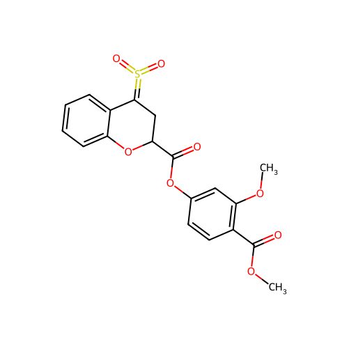 COC(=O)c1ccc(OC(=O)C2CC(=S(=O)=O)c3ccccc3O2)cc1OC